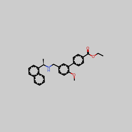 CCOC(=O)c1ccc(-c2cc(CN[C@H](C)c3cccc4ccccc34)ccc2OC)cc1